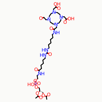 CC(=O)OC[C@@H](COP(=O)(O)OCCNC(=O)CCCCCNC(=O)NCCCCCCNC(=O)CN1CCN(CC=O)CCN(CC(=O)O)CCN(CC(=O)O)CC1)OC(C)=O